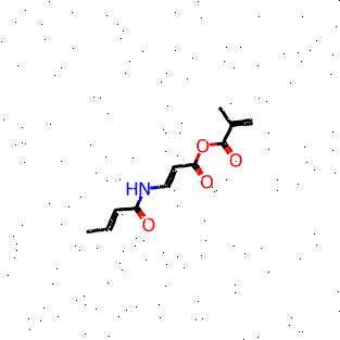 C=C(C)C(=O)OC(=O)C=CNC(=O)C=CC